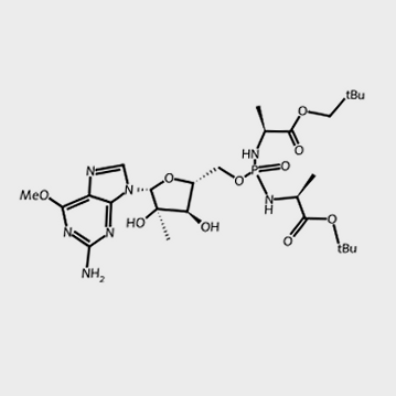 COc1nc(N)nc2c1ncn2[C@@H]1O[C@H](COP(=O)(N[C@@H](C)C(=O)OCC(C)(C)C)N[C@@H](C)C(=O)OC(C)(C)C)[C@@H](O)[C@@]1(C)O